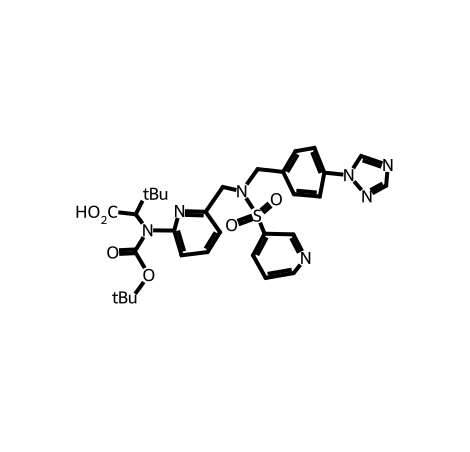 CC(C)(C)OC(=O)N(c1cccc(CN(Cc2ccc(-n3cncn3)cc2)S(=O)(=O)c2cccnc2)n1)C(C(=O)O)C(C)(C)C